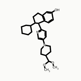 COC(OC)C1CCN(c2ccc(C3c4ccc(O)cc4CCC3C3CCCCC3)nc2)CC1